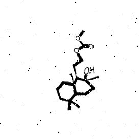 COC(=O)OCC[C@@H]1[C@@]2(C)CCCC(C)(C)C2CC[C@@]1(C)O